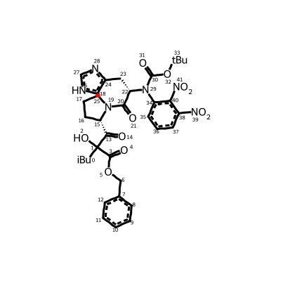 CCC(C)C(O)(C(=O)OCc1ccccc1)C(=O)[C@@H]1CCCN1C(=O)[C@H](Cc1c[nH]cn1)N(C(=O)OC(C)(C)C)c1cccc([N+](=O)[O-])c1[N+](=O)[O-]